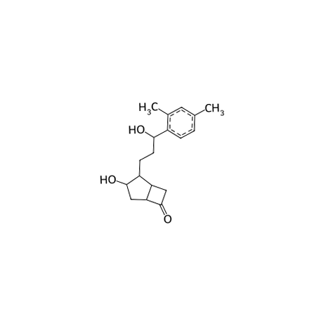 Cc1ccc(C(O)CCC2C(O)CC3C(=O)CC32)c(C)c1